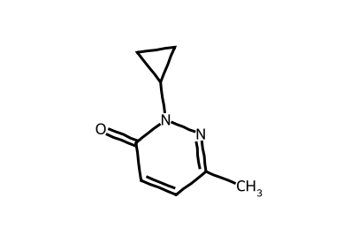 Cc1ccc(=O)n(C2CC2)n1